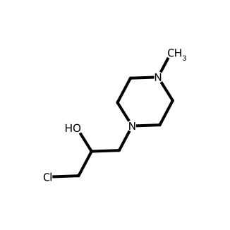 CN1CCN(CC(O)CCl)CC1